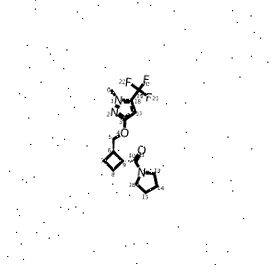 Cn1nc(OC[C@@H]2CC[C@H]2C(=O)N2CCCC2)cc1C(F)(F)F